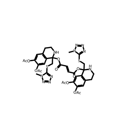 CC(=O)Oc1cc2c(cc1OC(C)=O)C(CSc1nnnn1C)(OC(=O)/C=C/C(=O)OC1(CSc3nnnn3C)NCCc3cc(OC(C)=O)c(OC(C)=O)cc31)NCC2